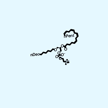 CCCCC/C=C\C/C=C\C/C=C\C/C=C\CCCC(=O)O[C@H](COCCCCCCCCCCCCCCCC)COP(=O)([O-])OCC[N+](C)(C)C